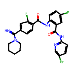 N=C(c1ccc(C(=O)Nc2ccc(F)cc2C(=O)Nc2ccc(Br)cn2)c(F)c1)N1CCCCC1